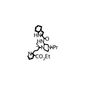 CCOC(=O)c1cccnc1CCC(=S)N1CCN(C(C)C)CC1NC(=O)c1cc2ccccc2[nH]1